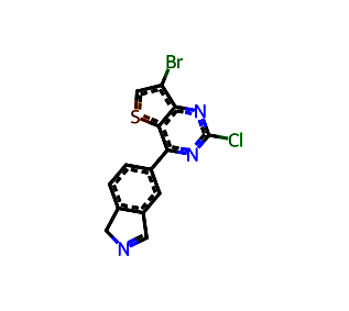 Clc1nc(-c2ccc3c(c2)C=NC3)c2scc(Br)c2n1